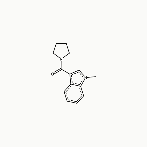 Cn1cc(C(=O)N2CCCC2)c2ccccc21